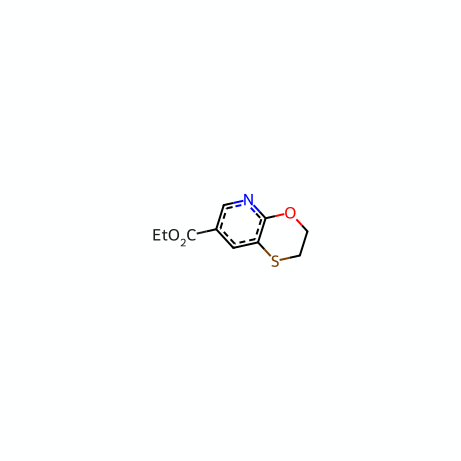 CCOC(=O)c1cnc2c(c1)SCCO2